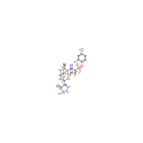 Cc1cc(Cl)ccc1OC(C)(C)C(=O)NC1[C@@H]2CC3C[C@H]1CC(N1CCC(C)C1=O)(C3)C2